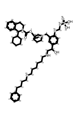 O=C(OC1C[N+]2(Cc3cc(C(O)CNCCCCCCOCCCCc4ccccc4)ccc3OCOP(=O)(O)O)CCC1CC2)N1CCc2ccccc2C1C1CCCCC1